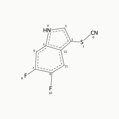 N#CSc1c[nH]c2cc(F)c(F)cc12